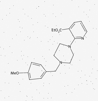 CCOC(=O)c1cccnc1N1CCN(Cc2ccc(OC)cc2)CC1